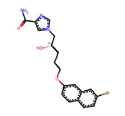 NC(=O)c1cn(C[C@@H](O)CCCOc2ccc3ccc(Br)cc3c2)cn1